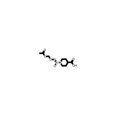 CC(=O)OCO/N=[N+](\[O-])N1CCC(C(=O)O)CC1